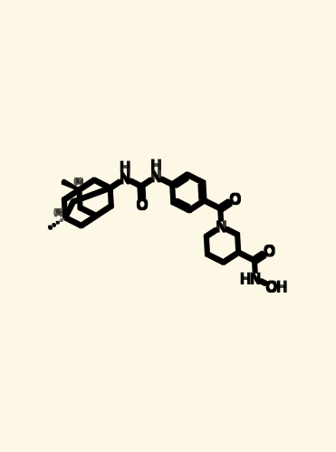 C[C@]12CC3CC(NC(=O)Nc4ccc(C(=O)N5CCCC(C(=O)NO)C5)cc4)(C1)C[C@@](C)(C3)C2